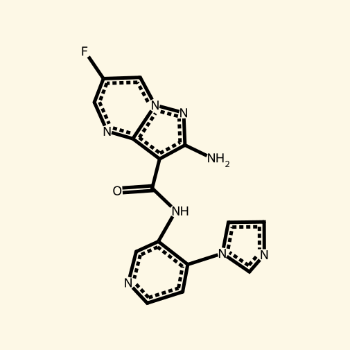 Nc1nn2cc(F)cnc2c1C(=O)Nc1cnccc1-n1ccnc1